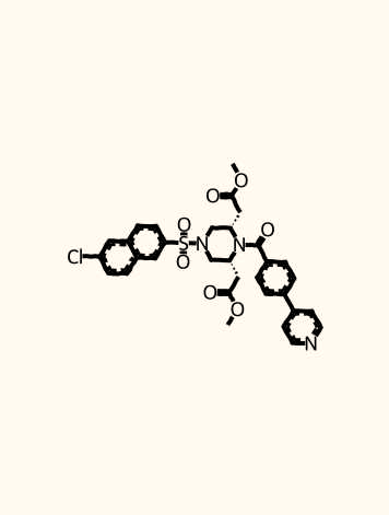 COC(=O)C[C@@H]1CN(S(=O)(=O)c2ccc3cc(Cl)ccc3c2)C[C@H](CC(=O)OC)N1C(=O)c1ccc(-c2ccncc2)cc1